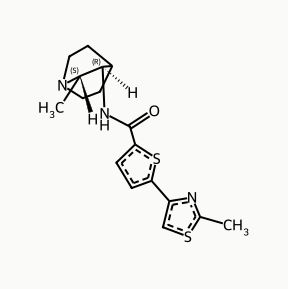 Cc1nc(-c2ccc(C(=O)N[C@@H]3C4CCN(CC4)[C@H]3C)s2)cs1